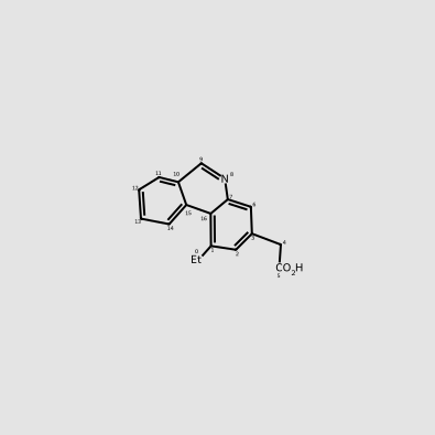 CCc1cc(CC(=O)O)cc2ncc3ccccc3c12